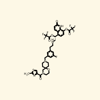 Cc1nc(C(=O)N2CCOC3(CCN(Cc4cc(F)cc(CCNC[C@H](OC(=O)C(F)(F)F)c5ccc(OC(=O)C(F)(F)F)c6[nH]c(=O)ccc56)c4)CC3)C2)cs1